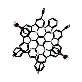 N#Cc1ccc2c(c1)c1cc(C#N)ccc1n2-c1c(-c2nc(-c3ccccc3)cc(-c3ccccc3)n2)c(-n2c3ccc(C#N)cc3c3cc(C#N)ccc32)c(-n2c3ccc(C#N)cc3c3cc(C#N)ccc32)c(-c2nc3ccccc3s2)c1-n1c2ccc(C#N)cc2c2cc(C#N)ccc21